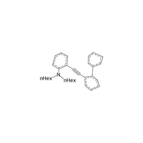 CCCCCCN(CCCCCC)c1ccccc1C#Cc1ccccc1-c1ccccc1